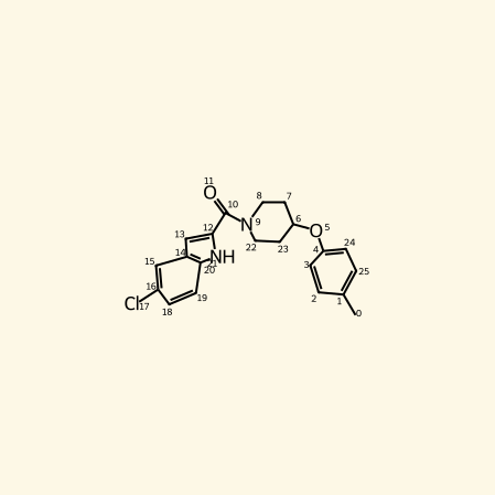 Cc1ccc(OC2CCN(C(=O)c3cc4cc(Cl)ccc4[nH]3)CC2)cc1